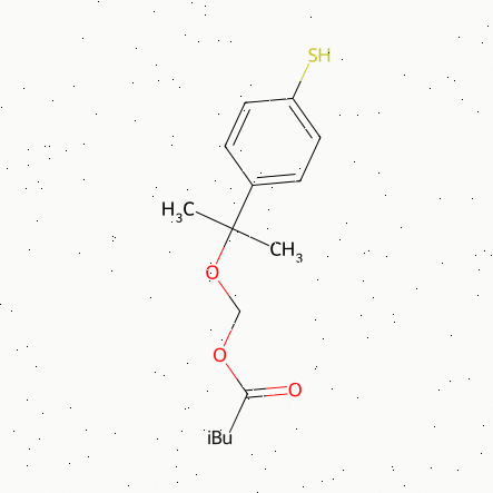 CCC(C)C(=O)OCOC(C)(C)c1ccc(S)cc1